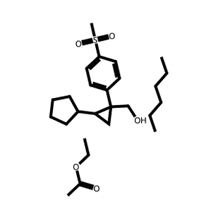 CCCCCC.CCOC(C)=O.CS(=O)(=O)c1ccc(C2(CO)CC2C2CCCC2)cc1